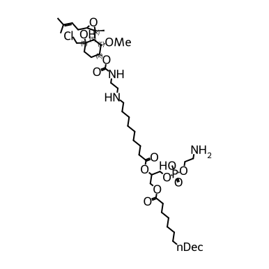 CCCCCCCCCCCCCCCCC(=O)OCC(COP(=O)(O)OCCN)OC(=O)CCCCCCCCNCCNC(=O)O[C@@H]1CC[C@](O)(CCl)[C@@H]([C@@]2(C)OC2CC=C(C)C)[C@@H]1OC